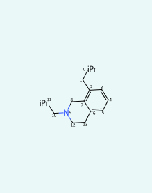 CC(C)Cc1cccc2c1CN(CC(C)C)CC2